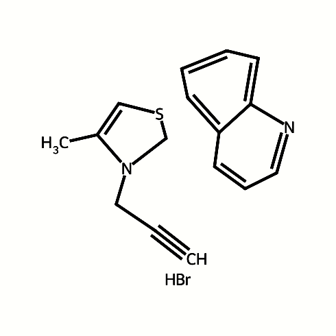 Br.C#CCN1CSC=C1C.c1ccc2ncccc2c1